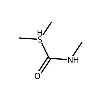 CNC(=O)[SH](C)C